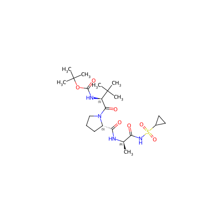 C[C@@H](NC(=O)[C@@H]1CCCN1C(=O)[C@@H](NC(=O)OC(C)(C)C)C(C)(C)C)C(=O)NS(=O)(=O)C1CC1